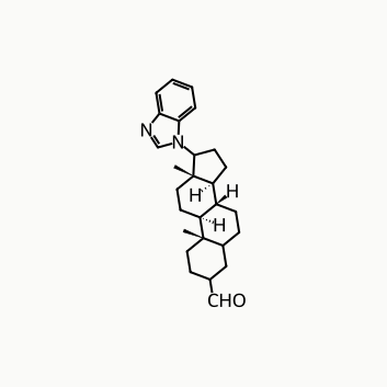 C[C@]12CCC(C=O)CC1CC[C@@H]1[C@@H]2CC[C@]2(C)C(n3cnc4ccccc43)CC[C@@H]12